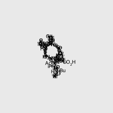 CCC(C)[C@H](NC(=O)C(C)(C)[N+](C)(C)C)C(=O)N(C)[C@H](C[C@@H](OC(C)=O)c1nc(C(=O)N[C@@H](Cc2ccc3c(c2)NC(=O)[C@H](C(C)C)NC(=O)[C@H](C)NC(=O)CCCNC(=O)[C@H](NC(=O)CN2C(=O)C=CC2=O)[C@H](NC(=O)CN2C(=O)C=CC2=O)C(=O)NCCCC(=O)O3)C[C@H](C)C(=O)O)cs1)C(C)C